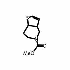 COC(=O)N1CCC2S[C]=CC2C1